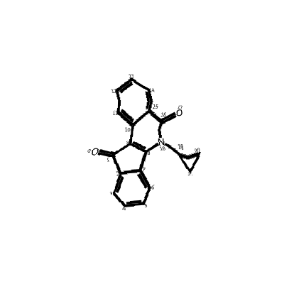 O=C1c2ccccc2-c2c1c1ccccc1c(=O)n2C1CC1